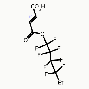 CCC(F)(F)C(F)(F)C(F)(F)C(F)(F)OC(=O)/C=C/C(=O)O